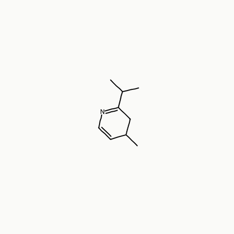 CC1C=CN=C(C(C)C)C1